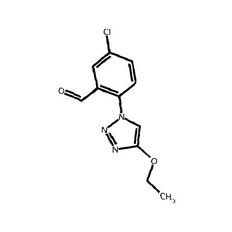 CCOc1cn(-c2ccc(Cl)cc2C=O)nn1